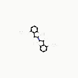 COc1cccc2c1C(=O)/C(=C1\Nc3cccc(OC)c3C1=O)N2